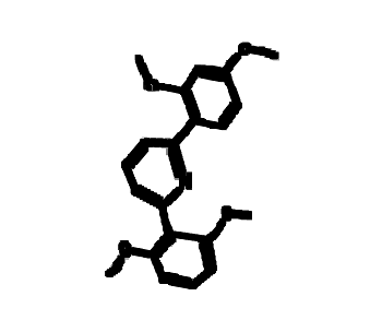 COc1ccc(-c2cccc(-c3c(OC)cccc3OC)n2)c(OC)c1